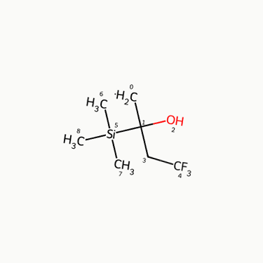 [CH2]C(O)(CC(F)(F)F)[Si](C)(C)C